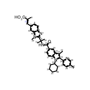 C/C(=C\c1ccc2nc(C(C)(C)NC(=O)c3ccc4c(c3)c(C)c(-c3ccc(F)cn3)n4C3CCCCC3)n(C)c2c1)C(=O)O